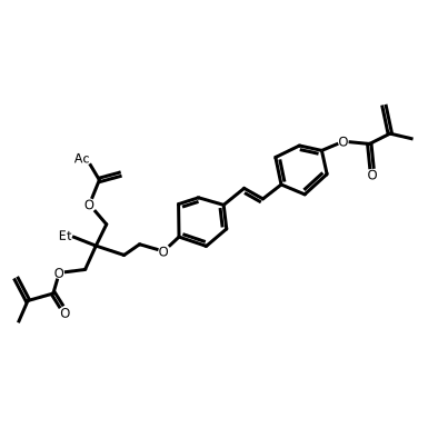 C=C(C)C(=O)OCC(CC)(CCOc1ccc(/C=C/c2ccc(OC(=O)C(=C)C)cc2)cc1)COC(=C)C(C)=O